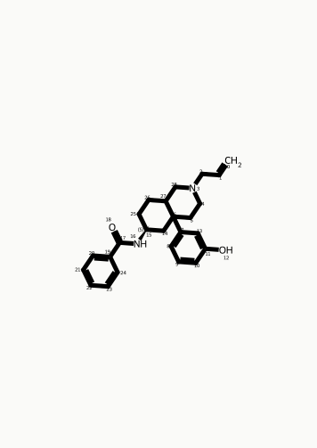 C=CCN1CCC2(c3cccc(O)c3)C[C@@H](NC(=O)c3ccccc3)CCC2C1